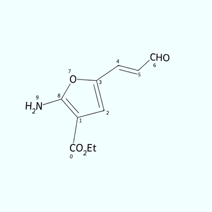 CCOC(=O)c1cc(C=CC=O)oc1N